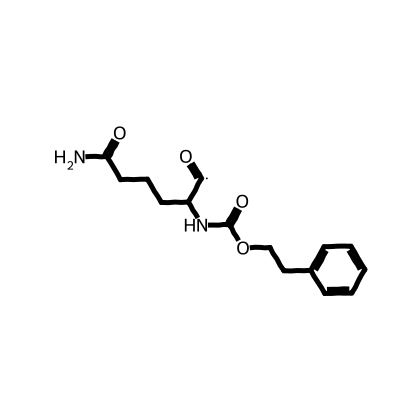 NC(=O)CCCC([C]=O)NC(=O)OCCc1ccccc1